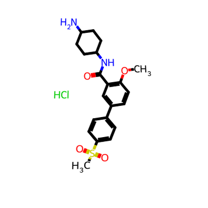 COc1ccc(-c2ccc(S(C)(=O)=O)cc2)cc1C(=O)NC1CCC(N)CC1.Cl